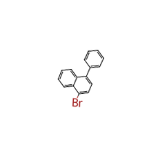 Brc1ccc(-c2ccccc2)c2ccccc12